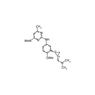 CNc1cc(C)nc(Nc2ccc(OC)c([C@H]3C[C@H]3CN(C)C)c2)n1